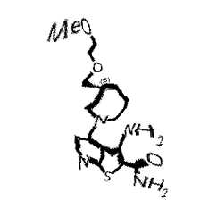 COCCOC[C@H]1CCCN(c2ccnc3sc(C(N)=O)c(N)c23)C1